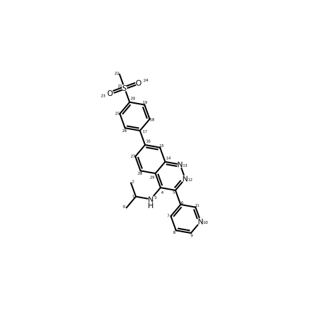 CC(C)Nc1c(-c2cccnc2)nnc2cc(-c3ccc(S(C)(=O)=O)cc3)ccc12